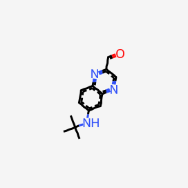 CC(C)(C)Nc1ccc2nc(C=O)cnc2c1